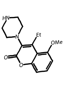 CCc1c(N2CCNCC2)c(=O)oc2cccc(OC)c12